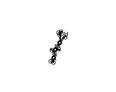 COCCN(CCOP(=O)(O)OC)c1ccc(/N=N/c2cc(OC)c(/N=N/c3ccc([N+](=O)[O-])cc3)cc2OC)cc1